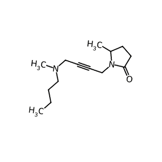 CCCCN(C)CC#CCN1C(=O)CCC1C